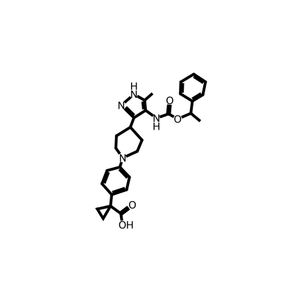 Cc1[nH]nc(C2CCN(c3ccc(C4(C(=O)O)CC4)cc3)CC2)c1NC(=O)OC(C)c1ccccc1